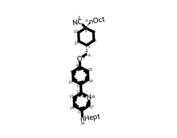 CCCCCCCC[C@]1(C#N)CC[C@H](COc2ccc(-c3ccc(CCCCCCC)cn3)cc2)CC1